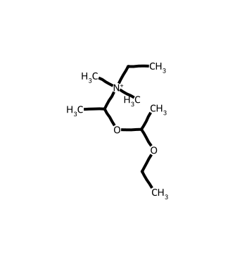 CCOC(C)OC(C)[N+](C)(C)CC